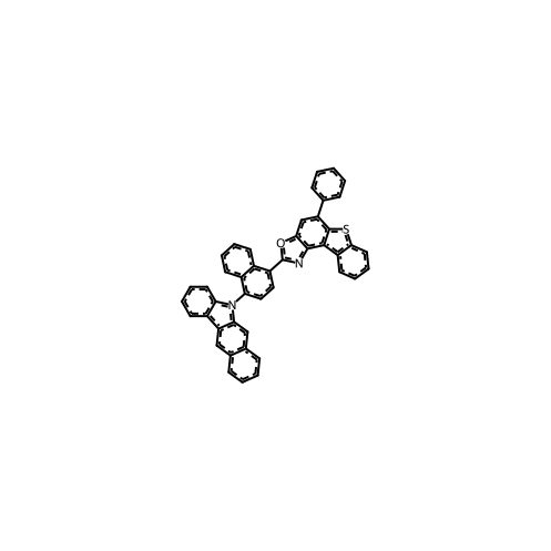 c1ccc(-c2cc3oc(-c4ccc(-n5c6ccccc6c6cc7ccccc7cc65)c5ccccc45)nc3c3c2sc2ccccc23)cc1